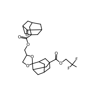 CC(F)(F)COC(=O)C12CC3CC(C1)C1(OCC(COC(=O)C45CC6CC(C4)C(=O)C(C6)C5)O1)C(C3)C2